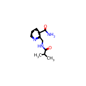 CC(C)C(=O)NCc1ncccc1C(N)=O